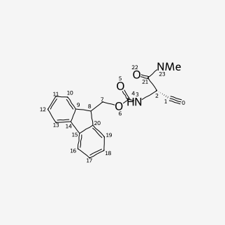 C#C[C@H](NC(=O)OCC1c2ccccc2-c2ccccc21)C(=O)NC